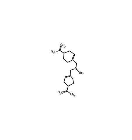 C=C(C)C1CC=C(CN(CC2=CCC(C(=C)C)CC2)C(C)(C)C)CC1